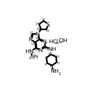 CCCNc1nc(N[C@H]2CC[C@H](N)CC2)nc2c1ncn2C1CCSC1.Cl.Cl